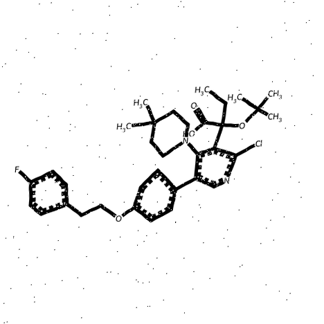 CCC(OC(C)(C)C)(C(=O)O)c1c(Cl)ncc(-c2ccc(OCCc3ccc(F)cc3)cc2)c1N1CCC(C)(C)CC1